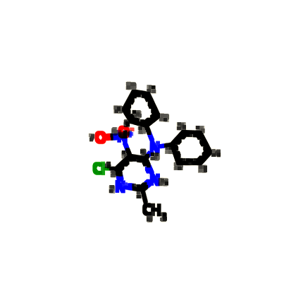 Cc1nc(Cl)c([N+](=O)[O-])c(N(c2ccccc2)c2ccccc2)n1